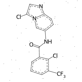 O=C(Nc1ccc2ncc(Cl)n2c1)c1cccc(C(F)(F)F)c1Cl